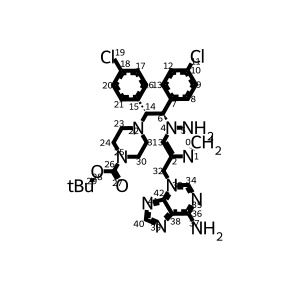 C=N/C(=C\N(N)[C@@H](c1ccc(Cl)cc1)[C@@H](c1ccc(Cl)cc1)N1CCN(C(=O)OC(C)(C)C)CC1)Cn1cnc(N)c2ncnc1-2